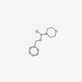 ClP(OCc1ccccc1)N1CCOCC1